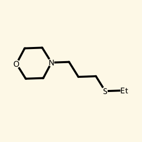 CCSCCCN1CCOCC1